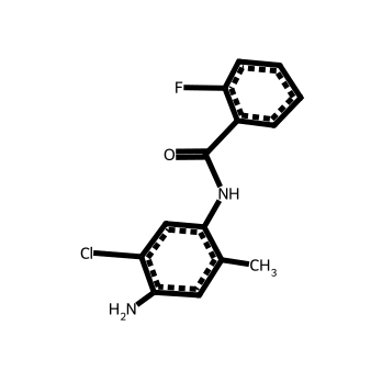 Cc1cc(N)c(Cl)cc1NC(=O)c1ccccc1F